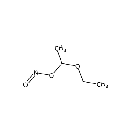 CCOC(C)ON=O